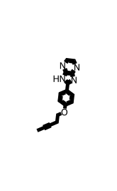 CC#CCCOc1ccc(-c2nc3nccnc3[nH]2)cc1